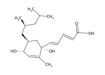 CC1=C[C@H](O)[C@@H](C[C@@H](C)CC(C)C)C[C@@]1(O)/C=C/C=C/C(=O)O